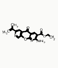 C=C(C)c1cc2c(=O)c3cc(C(=O)OCC)c(N)nc3oc2cn1